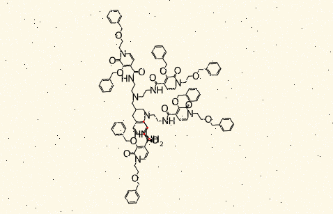 Nc1ccc(CC(CN(CCNC(=O)c2ccn(CCOCc3ccccc3)c(=O)c2OCc2ccccc2)CCNC(=O)c2ccn(CCOCc3ccccc3)c(=O)c2OCc2ccccc2)CN(CCNC(=O)c2ccn(CCOCc3ccccc3)c(=O)c2OCc2ccccc2)CCNC(=O)c2ccn(CCOCc3ccccc3)c(=O)c2OCc2ccccc2)cc1